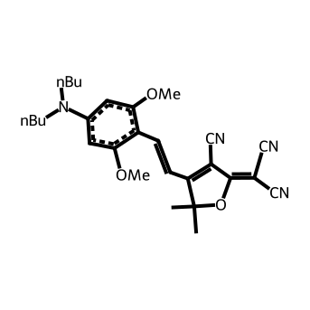 CCCCN(CCCC)c1cc(OC)c(C=CC2=C(C#N)C(=C(C#N)C#N)OC2(C)C)c(OC)c1